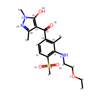 CCOCCNc1c(S(C)(=O)=O)ccc(C(=O)c2c(C)nn(C)c2O)c1C